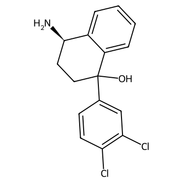 N[C@@H]1CCC(O)(c2ccc(Cl)c(Cl)c2)c2ccccc21